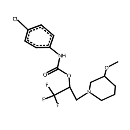 COC1CCCN(CC(OC(=O)Nc2ccc(Cl)cc2)C(F)(F)F)C1